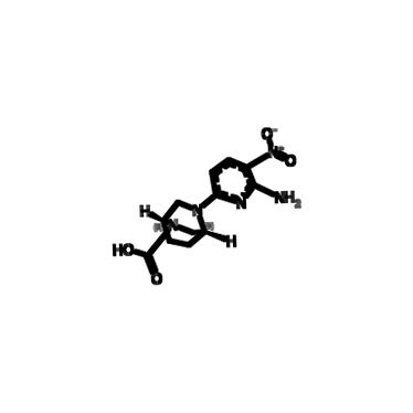 Nc1nc(N2C[C@H]3CC[C@@H]2CN3C(=O)O)ccc1[N+](=O)[O-]